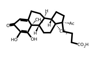 CC(=O)[C@@]1(CCCC(=O)O)CC[C@H]2[C@@H]3CCC4=CC(=O)C(O)=C(O)[C@]4(C)[C@H]3CC[C@@]21C